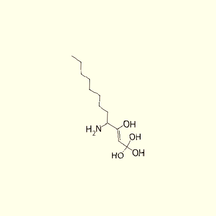 CCCCCCCCC(N)C(O)=CC(O)(O)O